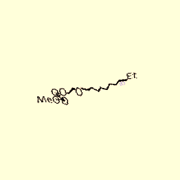 CC/C=C/CCCCCCCCOCCOS(=O)(=O)OC